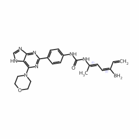 B/C(C=C)=C/C=C(\C)NC(=O)Nc1ccc(-c2nc(N3CCOCC3)c3[nH]cnc3n2)cc1